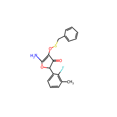 Cc1cccc(C2OC(N)=C(OSCc3ccccc3)C2=O)c1F